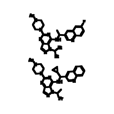 CC(=O)N1CCN(c2nc(NC(c3cnc4ccccc4c3)C3CC3)c3c(cnn3C(C)C(C)C)n2)CC1.CCC(CC)n1ncc2nc(N3CCN(C(C)=O)CC3)nc(NC(C)c3cnc4ccc(F)cc4c3)c21